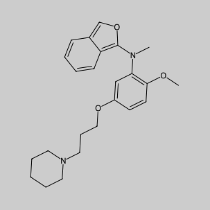 COc1ccc(OCCCN2CCCCC2)cc1N(C)c1occ2ccccc12